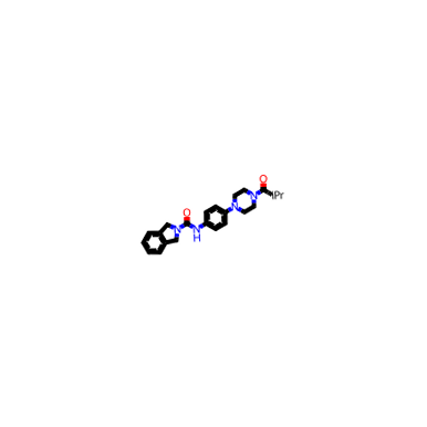 CC(C)C(=O)N1CCN(c2ccc(NC(=O)N3Cc4ccccc4C3)cc2)CC1